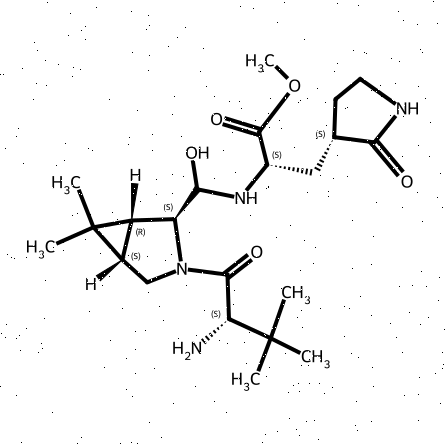 COC(=O)[C@H](C[C@@H]1CCNC1=O)NC(O)[C@@H]1[C@@H]2[C@H](CN1C(=O)[C@@H](N)C(C)(C)C)C2(C)C